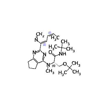 C=N/C(=C\C=C/C)c1nc2c(c(N(C)[C@@H](COC(C)(C)C)C(=O)NC(C)(C)C)n1)CCC2